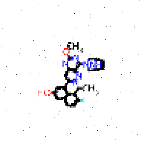 CCc1c(F)ccc2cc(O)cc(-c3cc4nc(OC)nc(N5CC6CCC(C5)N6)c4nn3)c12